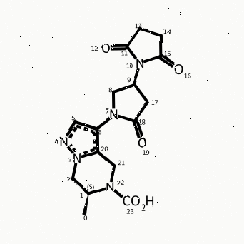 C[C@H]1Cn2ncc(N3CC(N4C(=O)CCC4=O)CC3=O)c2CN1C(=O)O